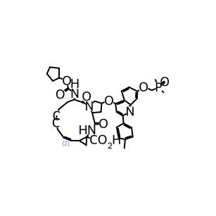 Cc1ccc(-c2cc(OC3CC4C(=O)NC5(C(=O)O)CC5/C=C\CCCCCC(NC(=O)OC5CCCC5)C(=O)N4C3)c3ccc(OCP(C)(C)=O)cc3n2)cc1